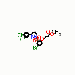 COC(=O)CCCOc1ccc(Br)cc1S(=O)(=O)N1CCCC(c2ccc(Cl)c(Cl)c2)=N1